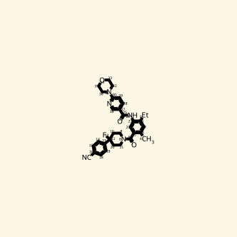 CCc1cc(C)c(C(=O)N2CCC(F)(c3ccc(C#N)cc3)CC2)cc1NC(=O)c1ccc(N2CCOCC2)nc1